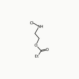 CCC(=O)OCCNCl